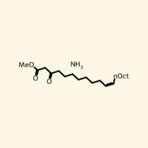 CCCCCCCC/C=C\CCCCCCCC(=O)CC(=O)OC.N